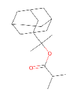 CC(C)C(=O)OC(C)(C)C12CC3CC(CC(C3)C1)C2